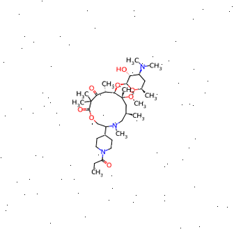 CCC(=O)N1CCC(C2COC(=O)C(C)(C)C(=O)[C@H](C)[C@@H](O[C@@H]3O[C@H](C)C[C@H](N(C)C)[C@H]3O)[C@](C)(OC)C[C@@H](C)CN2C)CC1